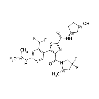 C[C@H](Nc1cc(C(F)F)c(-c2sc(C(=O)N[C@H]3CC[C@H](O)C3)nc2C(=O)N2CC(F)(F)C[C@@H]2C)cn1)C(F)(F)F